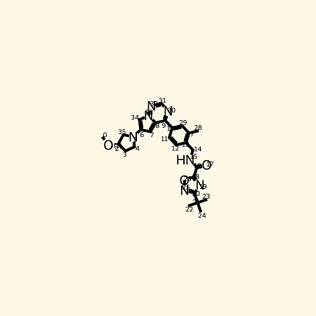 CO[C@H]1CCN(c2cc3c(-c4ccc(CNC(=O)c5nc(C(C)(C)C)no5)c(C)c4)ncnn3c2)C1